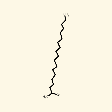 CCCCCCCCCCCCCCCCCC(C)[O]